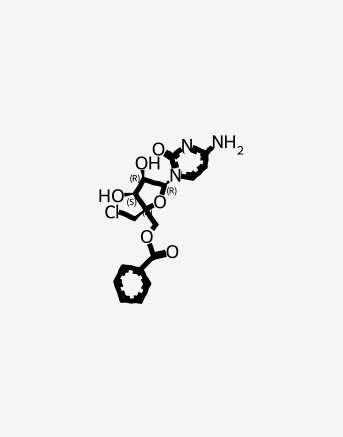 Nc1ccn([C@@H]2O[C@](CCl)(COC(=O)c3ccccc3)[C@@H](O)[C@H]2O)c(=O)n1